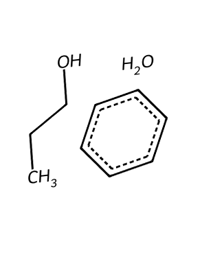 CCCO.O.c1ccccc1